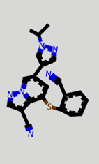 CC(C)n1cc(-c2cc(Sc3ccccc3C#N)c3c(C#N)cnn3c2)cn1